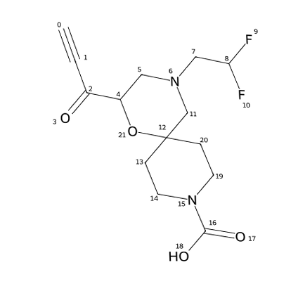 C#CC(=O)C1CN(CC(F)F)CC2(CCN(C(=O)O)CC2)O1